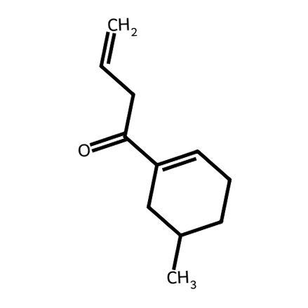 C=CCC(=O)C1=CCCC(C)C1